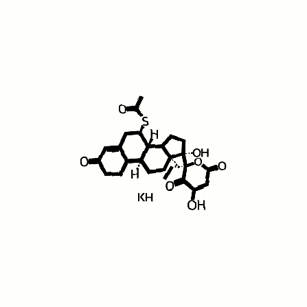 CC[C@]1([C@]2(O)CCC3[C@H]4[C@H](SC(C)=O)CC5=CC(=O)CCC5[C@@H]4CC[C@@]32C)OC(=O)CC(O)C1=O.[KH]